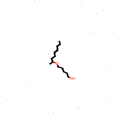 CCCCCCCC(C)OCCCCCO